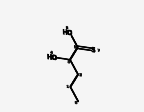 CCCC(O)C(O)=S